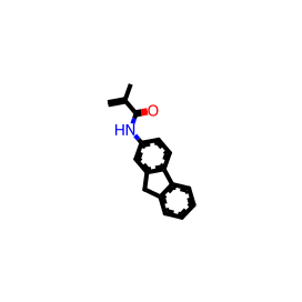 C=C(C)C(=O)Nc1ccc2c(c1)Cc1ccccc1-2